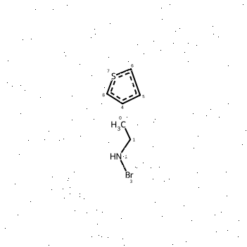 CCNBr.c1ccsc1